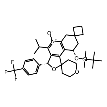 CC(C)c1c2c(c3c([n+]1[O-])CC1(CCC1)C[C@@H]3O[Si](C)(C)C(C)(C)C)C1(CCOCC1)O[C@@H]2c1ccc(C(F)(F)F)cc1